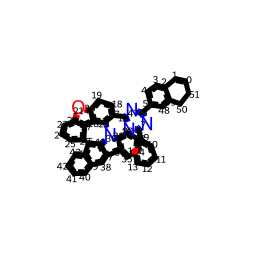 C1=Cc2ccc(-c3nc(-c4ccccc4)nc(-c4ccc5oc6ccccc6c5c4-n4c5ccccc5c5cc6ccccc6cc54)n3)cc2CC1